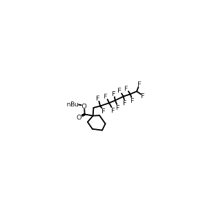 CCCCOC(=O)C1(CC(F)(F)C(F)(F)C(F)(F)C(F)(F)C(F)(F)C(F)F)CCCCC1